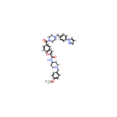 O=C(NC1CCN(Cc2ccc(OC(F)(F)F)cc2)CC1)c1cc2cc(C(=O)N3CCN(Cc4ccc(-n5cccn5)cc4)CC3)ccc2o1